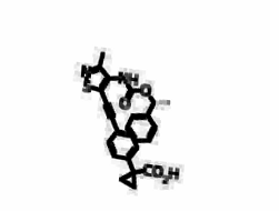 Cc1nsc(C#Cc2ccc(C3(C(=O)O)CC3)cc2)c1NC(=O)O[C@H](C)c1ccccc1